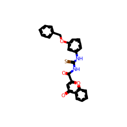 O=C(NC(=S)Nc1cccc(OCc2ccccc2)c1)c1cc(=O)c2ccccc2o1